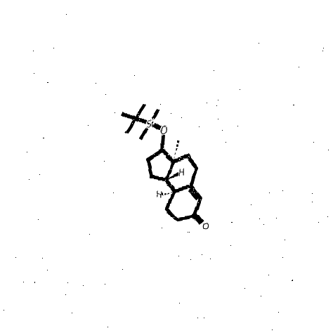 CC(C)(C)[Si](C)(C)OC1CC[C@H]2[C@@H]3CCC(=O)C=C3CC[C@]12C